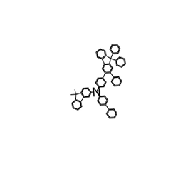 CC1(C)c2ccccc2-c2cc(N(c3ccc(-c4ccccc4)cc3)c3ccc(-c4cc5c(cc4-c4ccccc4)C(c4ccccc4)(c4ccccc4)c4ccccc4-5)cc3)ccc21